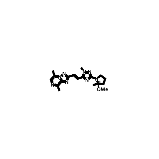 CO[C@]1(C)CCCN1c1nc(C=Cc2nc3c(C)ncc(C)n3n2)n(C)n1